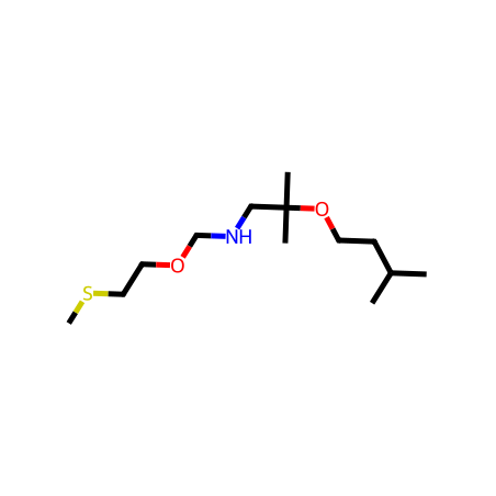 CSCCOCNCC(C)(C)OCCC(C)C